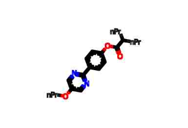 CCCOc1cnc(-c2ccc(OC(=O)C(CCC)CCC)cc2)nc1